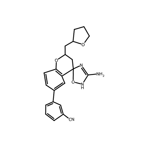 N#Cc1cccc(-c2ccc3c(c2)C2(CC(CC4CCCO4)O3)N=C(N)NO2)c1